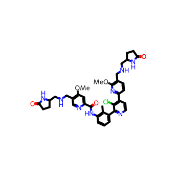 COc1cc(C(=O)Nc2cccc(-c3nccc(-c4ccc(CNCC5CCC(=O)N5)c(OC)n4)c3Cl)c2C)ncc1CNCC1CCC(=O)N1